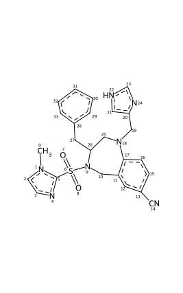 Cn1ccnc1S(=O)(=O)N1Cc2cc(C#N)ccc2N(Cc2c[nH]cn2)CC1Cc1ccccc1